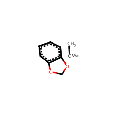 COC.c1ccc2c(c1)OCO2